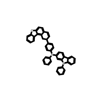 C1=CC(c2ccc(N(c3ccccc3)c3ccc4c5ccccc5n(-c5ccccc5)c4c3)cc2)Cc2c1ccc1oc3ccccc3c21